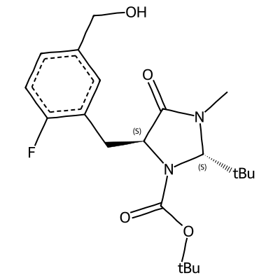 CN1C(=O)[C@H](Cc2cc(CO)ccc2F)N(C(=O)OC(C)(C)C)[C@H]1C(C)(C)C